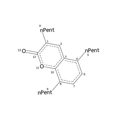 CCCCCc1cc2c(CCCCC)ccc(CCCCC)c2oc1=O